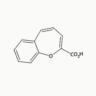 O=C(O)C1=CC=Cc2ccccc2O1